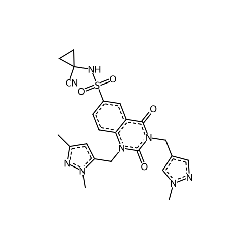 Cc1cc(Cn2c(=O)n(Cc3cnn(C)c3)c(=O)c3cc(S(=O)(=O)NC4(C#N)CC4)ccc32)n(C)n1